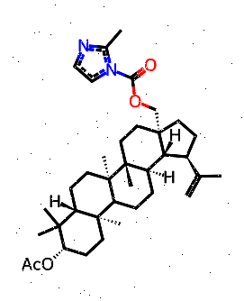 C=C(C)[C@@H]1CC[C@]2(COC(=O)n3ccnc3C)CC[C@]3(C)[C@H](CCC4[C@@]5(C)CC[C@H](OC(C)=O)C(C)(C)[C@@H]5CC[C@]43C)[C@@H]12